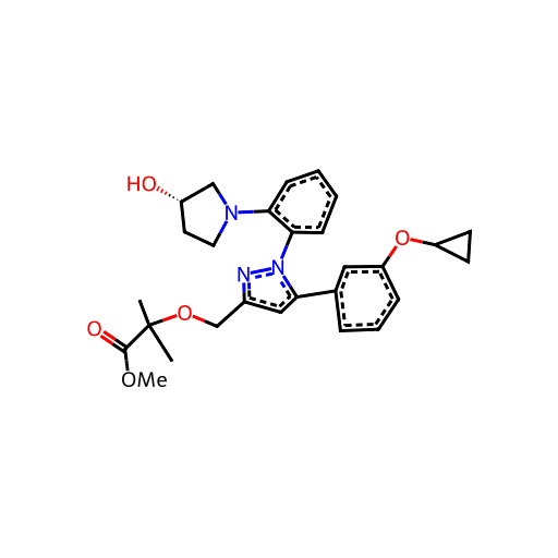 COC(=O)C(C)(C)OCc1cc(-c2cccc(OC3CC3)c2)n(-c2ccccc2N2CC[C@H](O)C2)n1